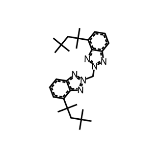 CC(C)(C)CC(C)(C)c1cccc2nn(Cn3nc4cccc(C(C)(C)CC(C)(C)C)c4n3)nc12